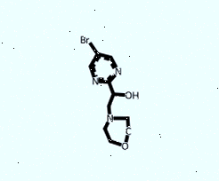 OC(CN1CCOCC1)c1ncc(Br)cn1